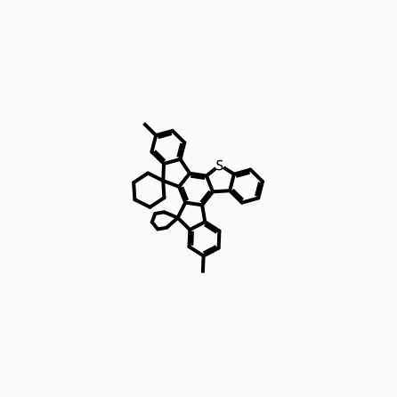 Cc1ccc2c(c1)C1(CCCCC1)c1c3c(c4c(sc5ccccc54)c1-2)-c1ccc(C)cc1C31CCCCC1